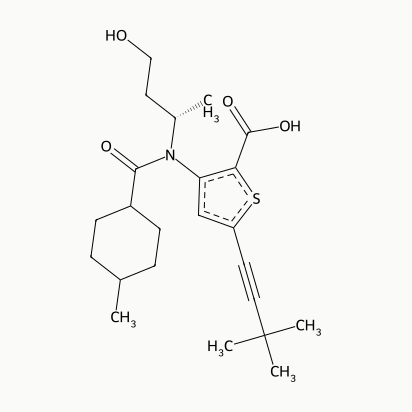 CC1CCC(C(=O)N(c2cc(C#CC(C)(C)C)sc2C(=O)O)[C@@H](C)CCO)CC1